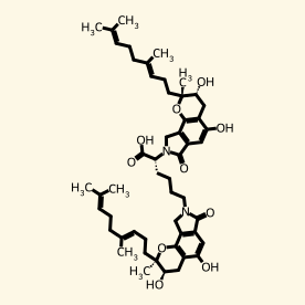 CC(C)=CCC/C(C)=C/CC[C@@]1(C)Oc2c(c(O)cc3c2CN(CCCC[C@H](C(=O)O)N2Cc4c(cc(O)c5c4O[C@](C)(CC/C=C(\C)CCC=C(C)C)[C@H](O)C5)C2=O)C3=O)C[C@H]1O